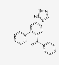 S=C(c1ccccc1)c1ccccc1-c1ccccc1.c1nn[nH]n1